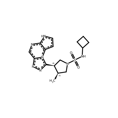 C[C@@H]1CN(S(=O)(=O)NC2CCC2)C[C@@H]1c1nnc2cnc3[nH]ccc3n12